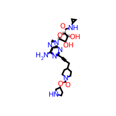 Nc1nc(C#CCC2CCN(C(=O)OC3CCNC3)CC2)nc2c1ncn2[C@@H]1O[C@H](C(=O)NC2CC2)[C@H](O)C1O